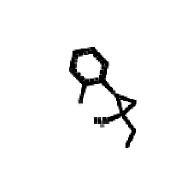 CC[C@@]1(N)C[C@@H]1c1ccccc1F